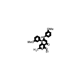 CCOc1nc(C)cc2c1c(=O)cc(Nc1cccc(OC)c1)n2-c1cccc(OC)c1